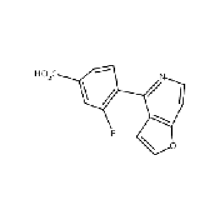 O=C(O)c1ccc(-c2nccc3occc23)c(F)c1